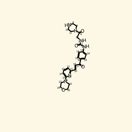 O=C(NCC(=O)N1CCNCC1)Nc1ccc(C(=O)/C=C/c2cccc(N3CCOCC3)n2)cc1